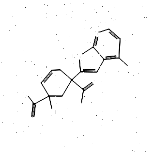 CC1(C(=O)O)C=CCC(C(=O)O)(c2cc3c(Cl)ccnc3[nH]2)C1